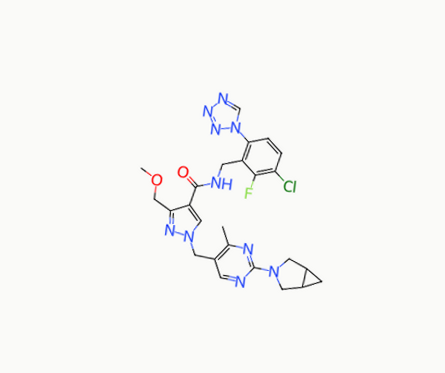 COCc1nn(Cc2cnc(N3CC4CC4C3)nc2C)cc1C(=O)NCc1c(-n2cnnn2)ccc(Cl)c1F